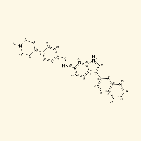 CN1CCN(c2ccc(CNc3ncc4c(-c5ccc6nccnc6c5)c[nH]c4n3)cn2)CC1